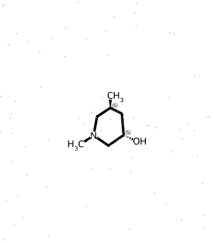 C[C@H]1C[C@H](O)CN(C)C1